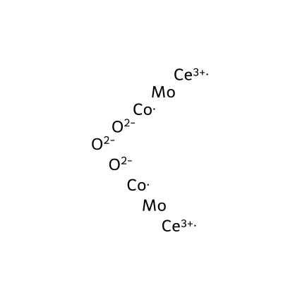 [Ce+3].[Ce+3].[Co].[Co].[Mo].[Mo].[O-2].[O-2].[O-2]